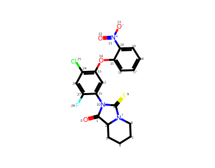 O=C1C2CCCCN2C(=S)N1c1cc(Oc2ccccc2[N+](=O)[O-])c(Cl)cc1F